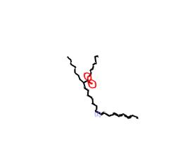 CCCCCCCC/C=C\CCCCCCC(CCCCCCC)C(=O)OCCCCCCC